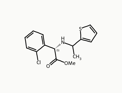 COC(=O)[C@@H](NC(C)c1cccs1)c1ccccc1Cl